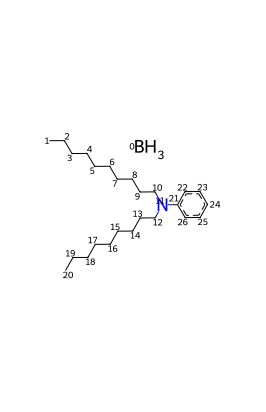 B.CCCCCCCCCCN(CCCCCCCCC)c1ccccc1